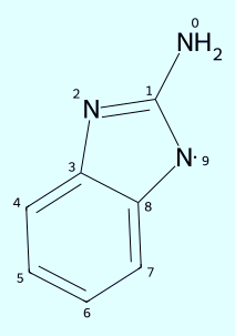 NC1=Nc2ccccc2[N]1